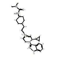 CN(C)C(=O)NC1CCC(CCN2CCN(c3nsc4ccccc34)C(C3CC3)C2)CC1